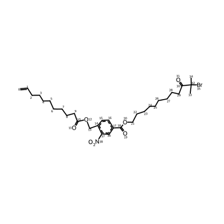 C=CCCCCCCCCC(=O)OCc1ccc(C(=O)OCCCCCCCCCC(=O)C(C)(C)Br)cc1[N+](=O)[O-]